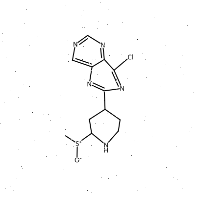 C[S+]([O-])C1CC(c2nc(Cl)c3ncncc3n2)CCN1